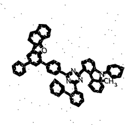 CC12C=CC=CC1c1c(-c3nc(-c4ccc(-c5cc(-c6ccccc6)cc6c5oc5c7ccccc7ccc65)cc4)nc(-c4ccccc4-c4ccccc4)n3)cccc1N2c1ccccc1